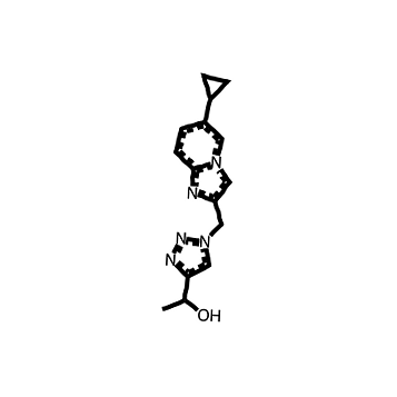 CC(O)c1cn(Cc2cn3cc(C4CC4)ccc3n2)nn1